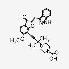 COc1ccc2c(c1C#CC(C)(C)N1CCN(C(=O)O)CC1)O/C(=C\c1n[nH]c3ccccc13)C2=O